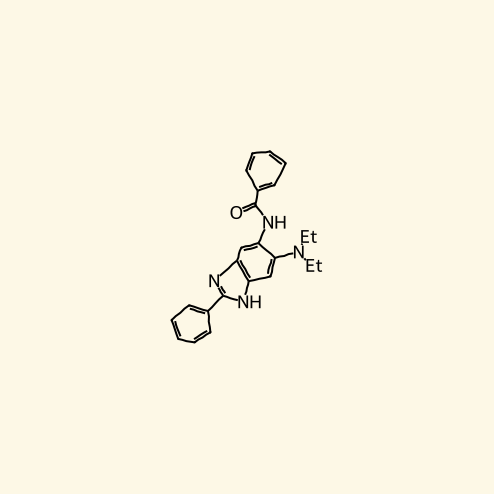 CCN(CC)c1cc2[nH]c(-c3ccccc3)nc2cc1NC(=O)c1ccccc1